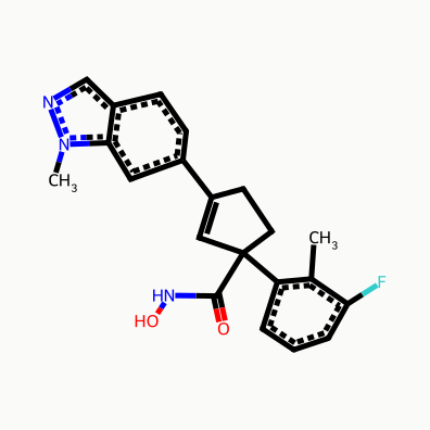 Cc1c(F)cccc1C1(C(=O)NO)C=C(c2ccc3cnn(C)c3c2)CC1